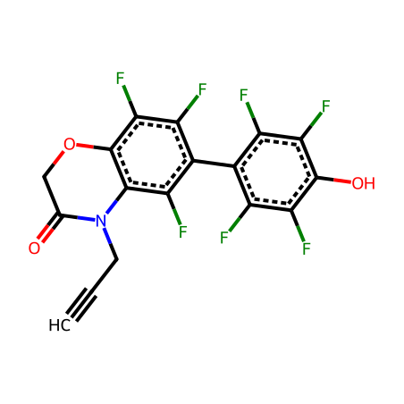 C#CCN1C(=O)COc2c(F)c(F)c(-c3c(F)c(F)c(O)c(F)c3F)c(F)c21